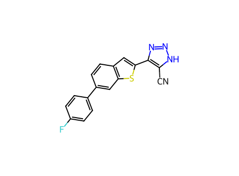 N#Cc1[nH]nnc1-c1cc2ccc(-c3ccc(F)cc3)cc2s1